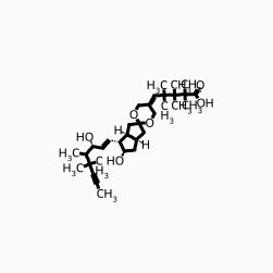 CC#CC(C)(C)C(C)[C@H](O)/C=C/[C@@H]1[C@H]2CC3(C[C@H]2C[C@H]1O)OCC(=CC(C)(C)C(C)(C)C(C)(C)C(=O)O)CO3